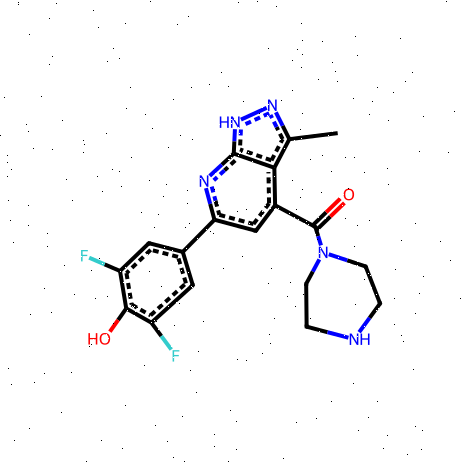 Cc1n[nH]c2nc(-c3cc(F)c(O)c(F)c3)cc(C(=O)N3CCNCC3)c12